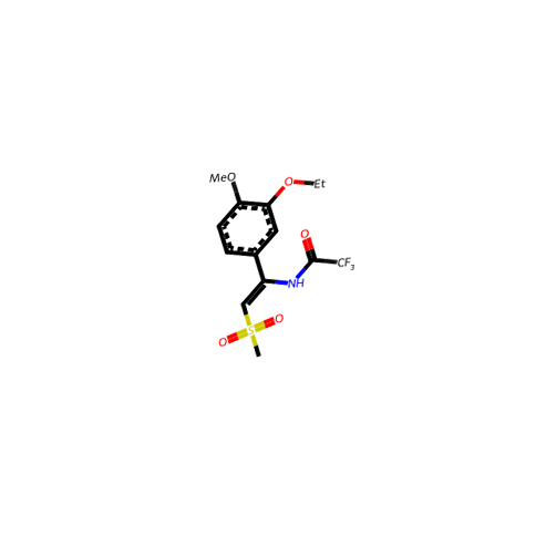 CCOc1cc(C(=CS(C)(=O)=O)NC(=O)C(F)(F)F)ccc1OC